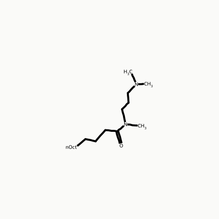 CCCCCCCCCCCC(=O)N(C)CCCN(C)C